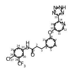 O=C(CCc1cccc(Oc2ccnc(-c3nn[nH]n3)c2)c1)Nc1ccc(Cl)c(C(F)(F)F)c1